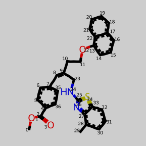 COC(=O)c1ccc(C=C(CCOc2cccc3ccccc23)CNc2nc3c(C)cccc3s2)cc1